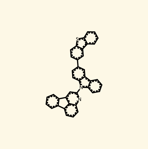 c1ccc2c(c1)-c1cccc3nc(-n4c5ccccc5c5cc(-c6ccc7sc8ccccc8c7c6)ccc54)cc-2c13